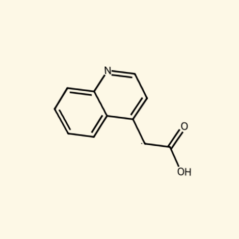 O=C(O)[CH]c1ccnc2ccccc12